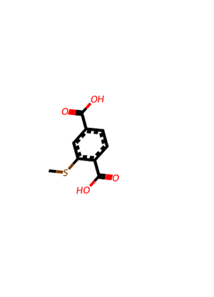 CSc1cc(C(=O)O)ccc1C(=O)O